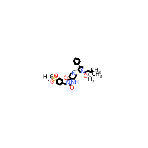 CC(C)(C)CC(=O)N1C[C@H](CN2CCC3(CC2)NC(=O)N(Cc2ccc(S(C)(=O)=O)cc2)C3=O)[C@@H](c2ccccc2)C1